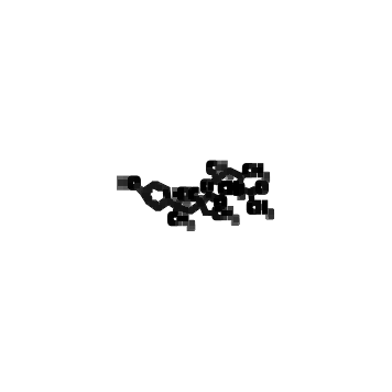 CCC(C)(CC(C)(C)c1ccc(O)cc1)C(=O)OC(C)(C)CC(C)OC(C)=O